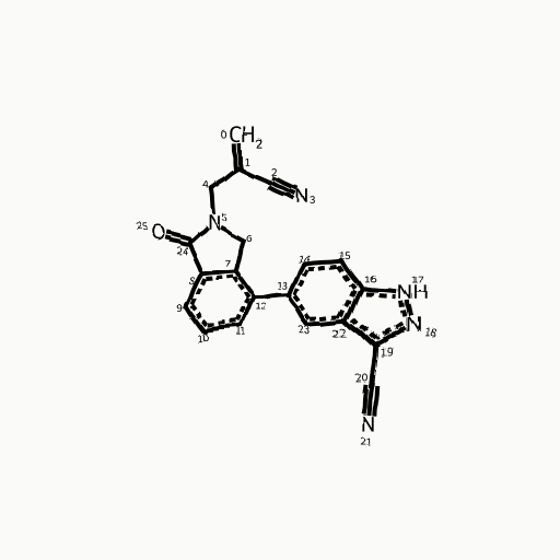 C=C(C#N)CN1Cc2c(cccc2-c2ccc3[nH]nc(C#N)c3c2)C1=O